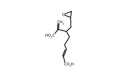 C=C(C(=O)O)C(CCC=CC(=O)O)CC1CO1